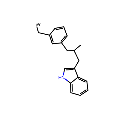 CC(C)Cc1cccc(CC(C)Cc2c[nH]c3ccccc23)c1